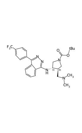 CN(C)C[C@@H]1CN(C(=O)OC(C)(C)C)C[C@H]1Nc1nnc(-c2ccc(C(F)(F)F)cc2)c2ccccc12